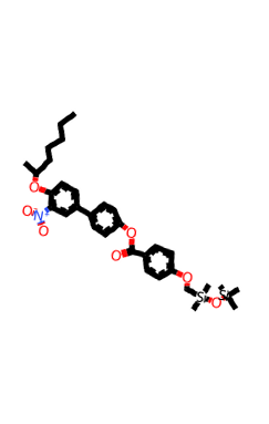 CCCCCC(C)Oc1ccc(-c2ccc(OC(=O)c3ccc(OC[Si](C)(C)O[Si](C)(C)C)cc3)cc2)cc1[N+](=O)[O-]